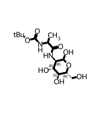 CC(NC(=O)OC(C)(C)C)C(=O)N[C@H]1C(O)O[C@H](CO)[C@@H](O)[C@@H]1O